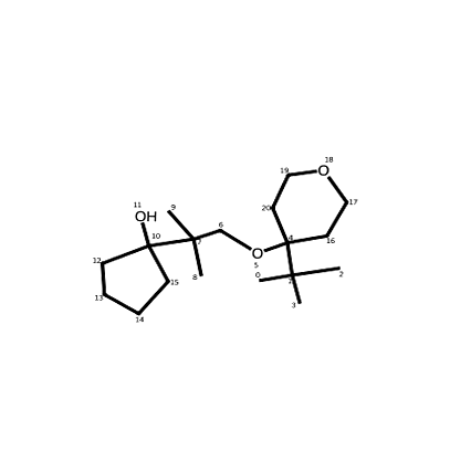 CC(C)(C)C1(OCC(C)(C)C2(O)CCCC2)CCOCC1